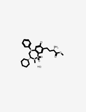 COC(=O)[C@@H](N)CCc1cc2c(cc1Cl)N(c1ccccc1)C[C@@H](C1CCCCC1)N(C)S2(=O)=O.Cl